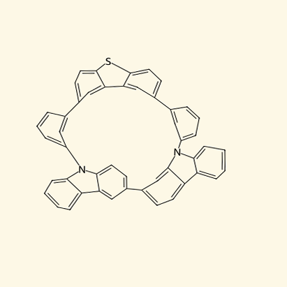 c1ccc2c(c1)c1cc3ccc1n2c1cccc(c1)c1ccc2sc4ccc(cc4c2c1)c1cccc(c1)n1c2ccccc2c2ccc3cc21